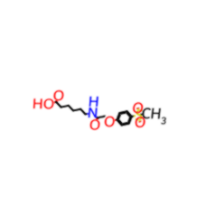 CS(=O)(=O)c1ccc(OCC(=O)NCCCCCC(=O)O)cc1